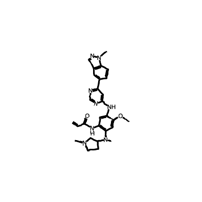 C=CC(=O)Nc1cc(Nc2cc(-c3ccc4c(cnn4C)c3)ncn2)c(OC)cc1N(C)C1CCN(C)C1